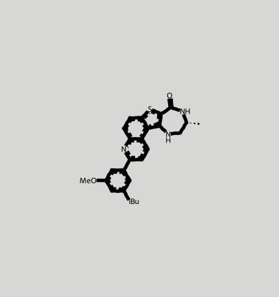 CCC(C)c1cc(OC)cc(-c2ccc3c(ccc4sc5c(c43)NC[C@@H](C)NC5=O)n2)c1